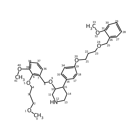 COCCCOc1c(COC2CNCCC2c2ccc(OCCCOCc3ccccc3OC)cc2)cccc1OC